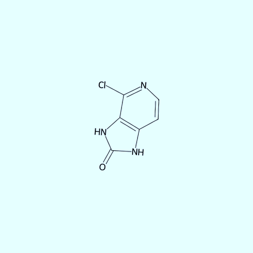 O=c1[nH]c2ccnc(Cl)c2[nH]1